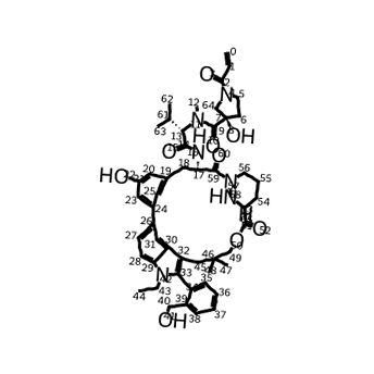 C=CC(=O)N1CC[C@](O)(C(=O)N(C)[C@H](C(=O)N[C@H]2Cc3cc(O)cc(c3)-c3ccc4c(c3)c(c(-c3ccccc3CO)n4CC)CC(C)(C)COC(=O)[C@@H]3CCCN(N3)C2=O)C(C)C)C1